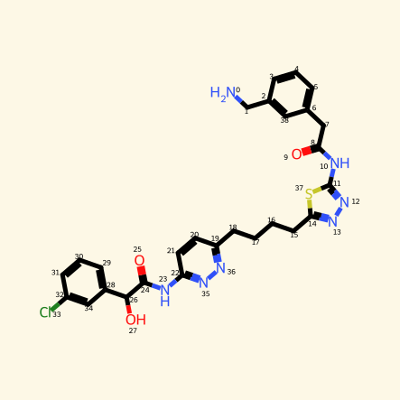 NCc1cccc(CC(=O)Nc2nnc(CCCCc3ccc(NC(=O)C(O)c4cccc(Cl)c4)nn3)s2)c1